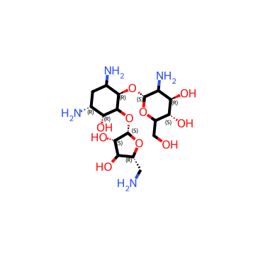 NC[C@H]1O[C@@H](OC2[C@H](O[C@H]3OC(CO)[C@@H](O)[C@H](O)C3N)C(N)C[C@@H](N)[C@H]2O)[C@@H](O)C1O